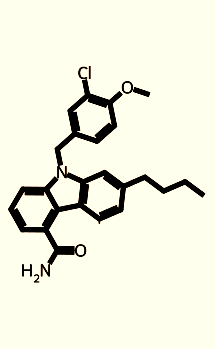 CCCCc1c[c]c2c3c(C(N)=O)cccc3n(Cc3ccc(OC)c(Cl)c3)c2c1